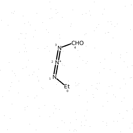 CCN=[N+]=NC=O